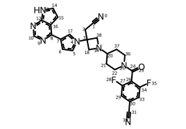 N#CCC1(n2ccc(-c3ncnc4[nH]ccc34)c2)CN(C2CCN(C(=O)c3c(F)cc(C#N)cc3F)CC2)C1